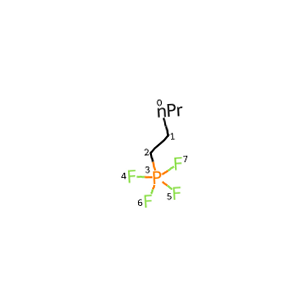 CCCCCP(F)(F)(F)F